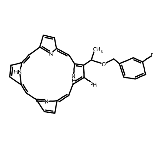 [2H]c1c(C(C)OCc2cccc(F)c2)c2cc3nc(cc4ccc(cc5nc(cc1[nH]2)C=C5)[nH]4)C=C3